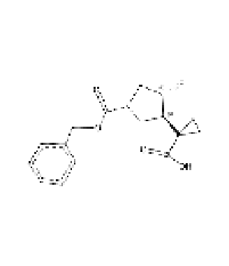 O=C(OCc1ccccc1)N1C[C@H](F)[C@@H](C2(C(=O)O)CC2)C1